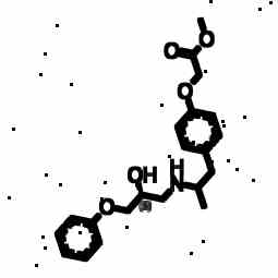 COC(=O)COc1ccc(CC(C)NC[C@H](O)COc2ccccc2)cc1